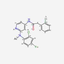 CC(=O)N(c1cc(NC(=O)Cc2ccccc2Cl)ccn1)c1ccc(F)cc1Cl